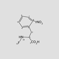 O=C(O)C(Cc1ccccc1[N+](=O)[O-])NF